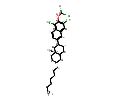 CCCCCCC[C@@H]1CC[C@@H]2CC(c3ccc4c(F)c(OC(F)F)c(F)cc4c3)CCC2C1